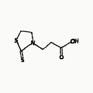 O=C(O)CCN1CCSC1=S